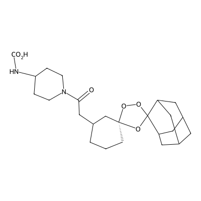 O=C(O)NC1CCN(C(=O)CC2CCC[C@]3(C2)OOC2(O3)C3CC4CC(C3)CC2C4)CC1